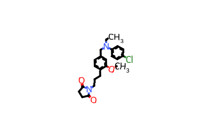 CCN(Cc1ccc(CCCN2C(=O)CCC2=O)c(OC)c1)c1ccc(Cl)cc1